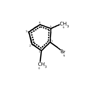 Cc1c[c]cc(C)c1Br